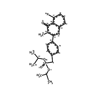 CC(C)OP(=O)(Cc1ccc(-c2nc3cccc(F)c3c(=O)n2C)cc1)OC(C)C